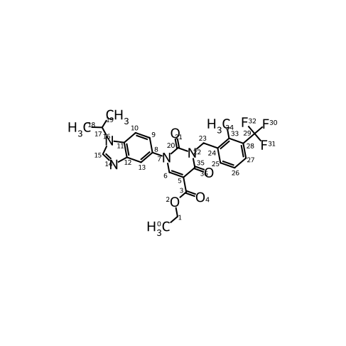 CCOC(=O)c1cn(-c2ccc3c(c2)ncn3C(C)C)c(=O)n(Cc2cccc(C(F)(F)F)c2C)c1=O